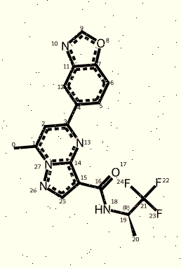 Cc1cc(-c2ccc3ocnc3c2)nc2c(C(=O)N[C@H](C)C(F)(F)F)cnn12